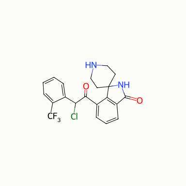 O=C1NC2(CCNCC2)c2c1cccc2C(=O)C(Cl)c1ccccc1C(F)(F)F